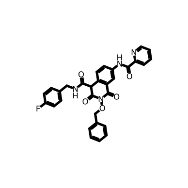 O=C(Nc1ccc2c(c1)C(=O)N(OCc1ccccc1)C(=O)C2C(=O)NCc1ccc(F)cc1)c1ccccn1